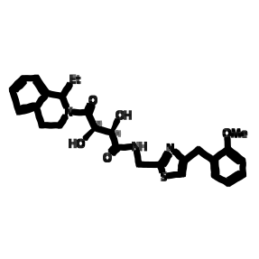 CCC1c2ccccc2CCN1C(=O)[C@H](O)[C@@H](O)C(=O)NCc1nc(Cc2ccccc2OC)cs1